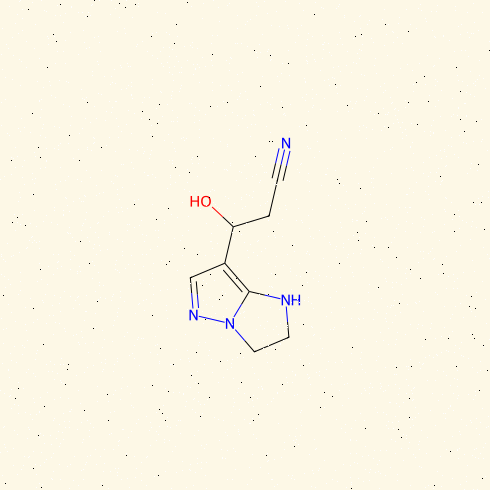 N#CCC(O)c1cnn2c1NCC2